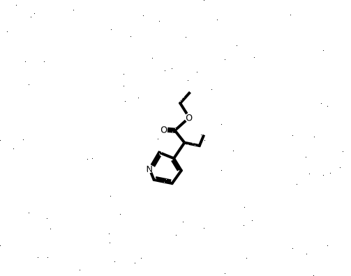 CCOC(=O)C(CC)c1cccnc1